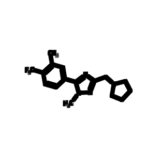 Cc1cc(-c2nc(CN3CCCC3)nn2C)ccc1C(F)(F)F